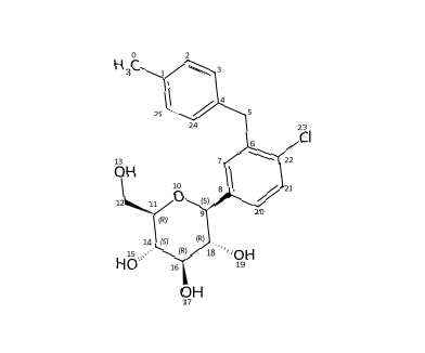 Cc1ccc(Cc2cc([C@@H]3O[C@H](CO)[C@@H](O)[C@H](O)[C@H]3O)ccc2Cl)cc1